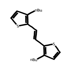 CCCCc1ccsc1/C=C/c1sccc1CCCC